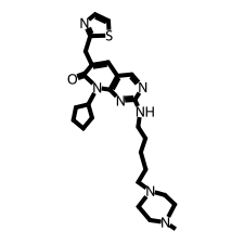 CN1CCN(CCCCCNc2ncc3cc(Cc4nccs4)c(=O)n(C4CCCC4)c3n2)CC1